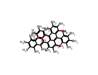 Bc1c(B)c(B)c(-c2c3c(B)c(B)c(B)c(B)c3c(-c3c(B)c(B)c(B)c(B)c3B)c3c(-c4c(B)c(B)c5c(B)c(B)c(B)c(B)c5c4B)c(B)c(B)c(B)c23)c(B)c1B